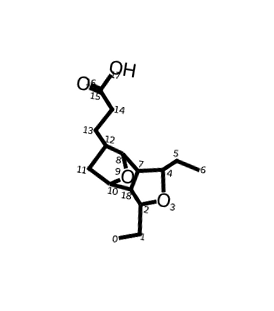 CCC1OC(CC)C2C3OC(CC3CCC(=O)O)C12